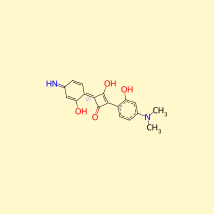 CN(C)c1ccc(C2=C(O)/C(=C3\C=CC(=N)C=C3O)C2=O)c(O)c1